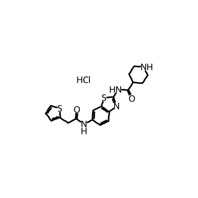 Cl.O=C(Cc1cccs1)Nc1ccc2nc(NC(=O)C3CCNCC3)sc2c1